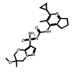 COC1(C)COc2c(S(N)(=O)=NC(=O)Nc3c(C)c(C4CC4)nc4c3CCC4)cnn2C1